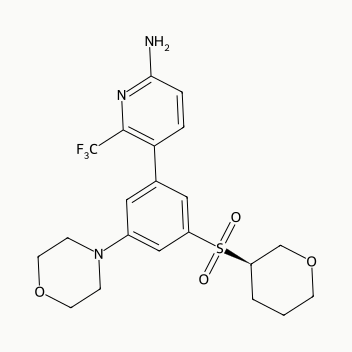 Nc1ccc(-c2cc(N3CCOCC3)cc(S(=O)(=O)[C@@H]3CCCOC3)c2)c(C(F)(F)F)n1